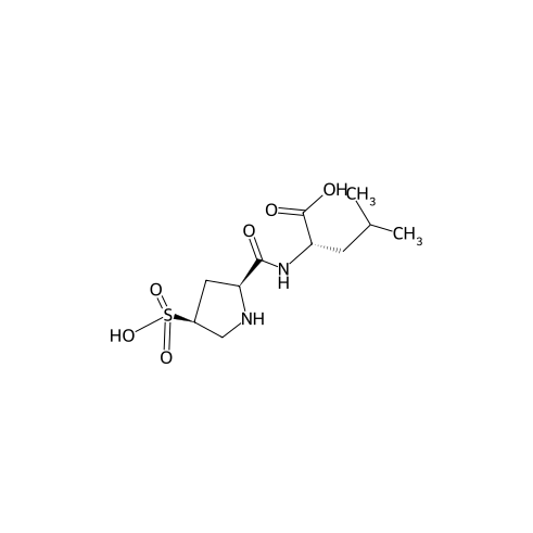 CC(C)C[C@H](NC(=O)[C@@H]1C[C@H](S(=O)(=O)O)CN1)C(=O)O